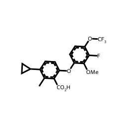 COc1c(Oc2ccc(C3CC3)c(C)c2C(=O)O)ccc(OC(F)(F)F)c1F